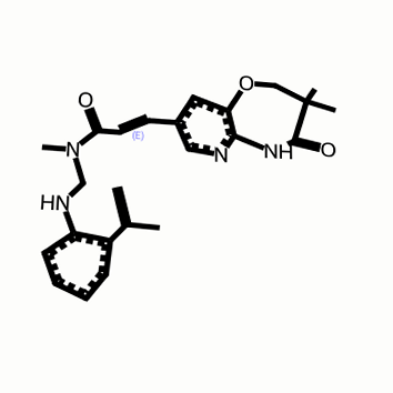 C=C(C)c1ccccc1NCN(C)C(=O)/C=C/c1cnc2c(c1)OCC(C)(C)C(=O)N2